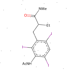 CCC(Cc1c(I)cc(I)c(NC(C)=O)c1I)C(=O)NC